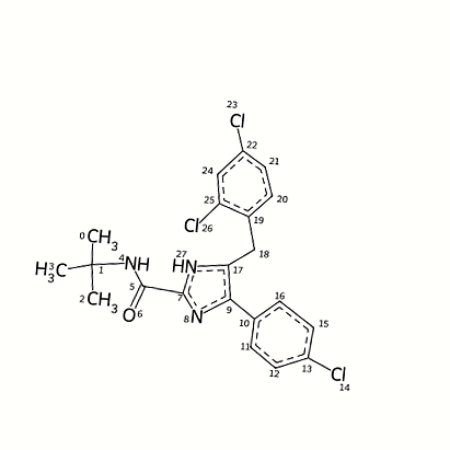 CC(C)(C)NC(=O)c1nc(-c2ccc(Cl)cc2)c(Cc2ccc(Cl)cc2Cl)[nH]1